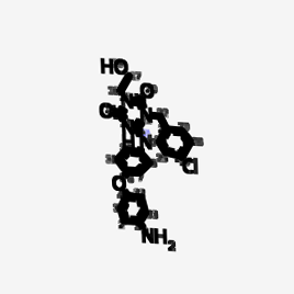 Nc1ccc(Oc2ccc(/N=c3\[nH]c(=O)n(CCO)c(=O)n3Cc3ccc(Cl)cc3)cc2)cc1